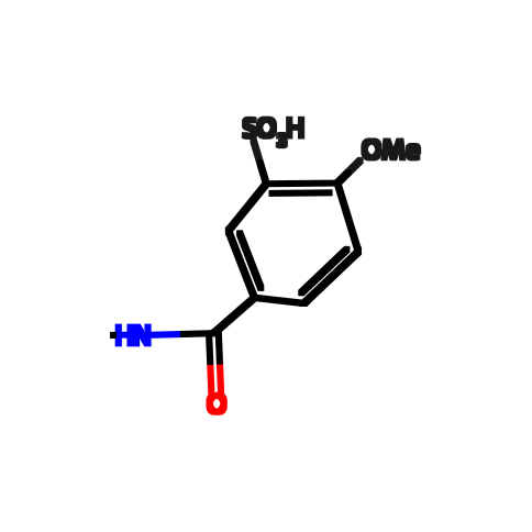 COc1ccc(C([NH])=O)cc1S(=O)(=O)O